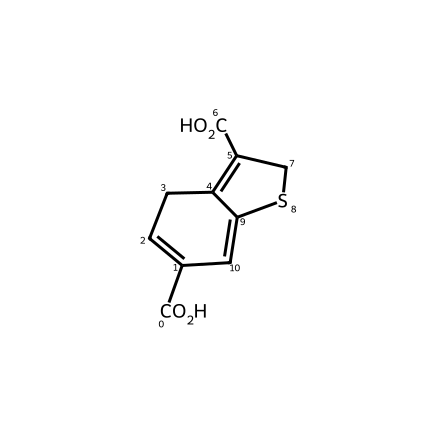 O=C(O)C1=CCC2=C(C(=O)O)CSC2=C1